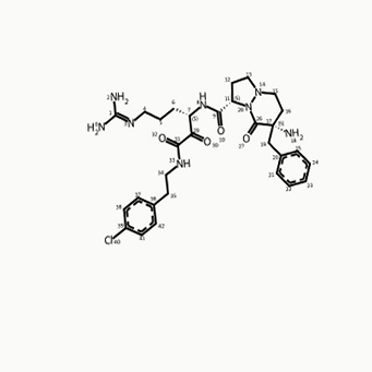 NC(N)=NCCC[C@H](NC(=O)[C@@H]1CCN2CC[C@@](N)(Cc3ccccc3)C(=O)N12)C(=O)C(=O)NCCc1ccc(Cl)cc1